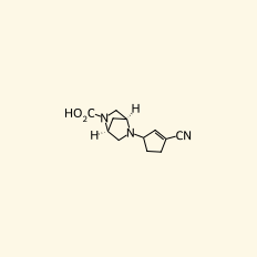 N#CC1=CC(N2C[C@@H]3C[C@H]2CN3C(=O)O)CC1